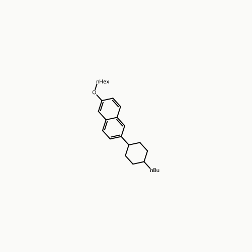 CCCCCCOc1ccc2cc(C3CCC(CCCC)CC3)ccc2c1